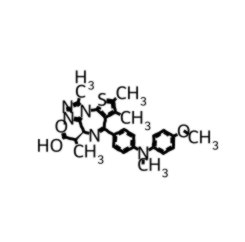 COc1ccc(N(C)c2ccc(C3=N[C@@H](C(C)C(=O)O)c4nnc(C)n4-c4sc(C)c(C)c43)cc2)cc1